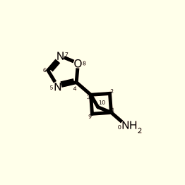 NC12CC(c3ncno3)(C1)C2